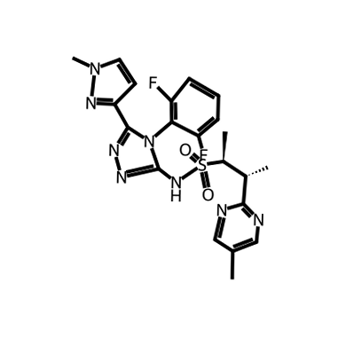 Cc1cnc([C@@H](C)[C@H](C)S(=O)(=O)Nc2nnc(-c3ccn(C)n3)n2-c2c(F)cccc2F)nc1